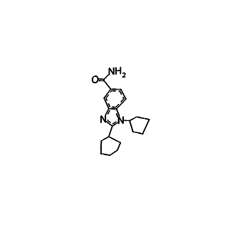 NC(=O)c1ccc2c(c1)nc(C1CCCCC1)n2C1CCCC1